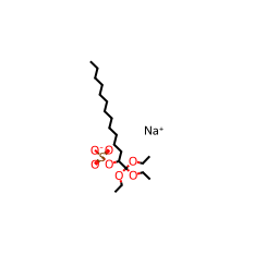 CCCCCCCCCCCCC(OS(=O)(=O)[O-])C(OCC)(OCC)OCC.[Na+]